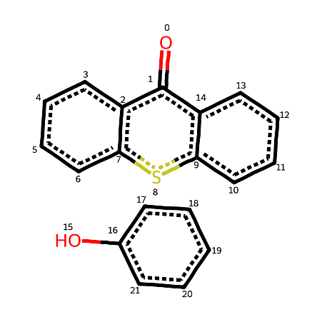 O=c1c2ccccc2sc2ccccc12.Oc1ccccc1